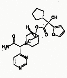 NC(=O)C(c1ccncn1)[N+]12CCC(CC1)[C@@H](OC(=O)C(O)(c1ccco1)C1CCCC1)C2